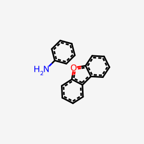 Nc1ccccc1.c1ccc2c(c1)oc1ccccc12